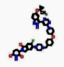 CC1(Oc2ccc3n[nH]c(-c4cc(N5CCC(OC6CCC(CN7CCN(c8cc9c(cc8F)C(=O)N(C8CCC(=O)NC8=O)C9)CC7)CC6)CC5)ncn4)c3c2)CC1